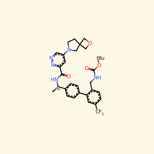 C[C@@H](NC(=O)c1cc(N2CCC3(COC3)C2)cnn1)c1ccc(-c2cc(C(F)(F)F)ccc2CNC(=O)OC(C)(C)C)cc1